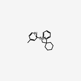 Cc1ccnc(NCC2(c3ccccc3)CCCCC2)c1